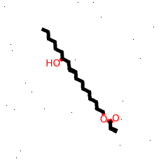 C=CC(=O)OCCCCCCCCC=CCC(O)CCCCCC